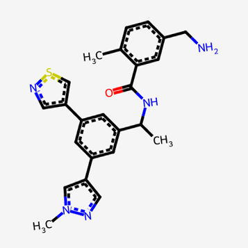 Cc1ccc(CN)cc1C(=O)NC(C)c1cc(-c2cnsc2)cc(-c2cnn(C)c2)c1